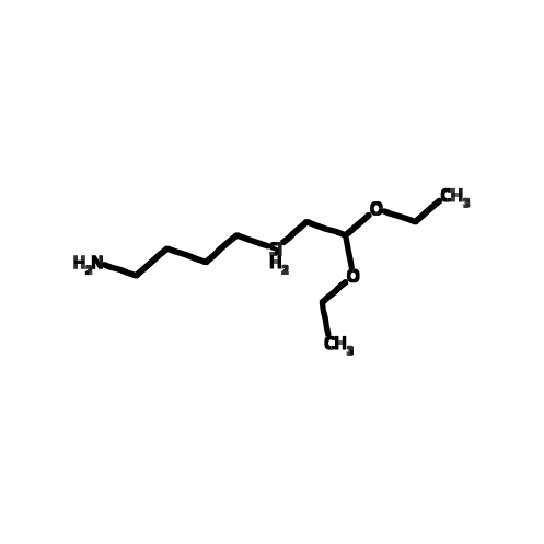 CCOC(C[SiH2]CCCCN)OCC